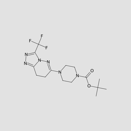 CC(C)(C)OC(=O)N1CCN(C2=Nn3c(nnc3C(F)(F)F)CC2)CC1